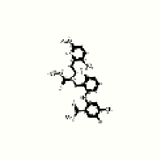 COC(=O)c1cc(F)c(C(F)(F)F)cc1Nc1cccc(F)c1CN(CCc1nc(OC)ccc1[N+](=O)[O-])C(=O)OC(C)(C)C